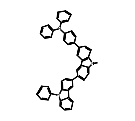 In1c2ccc(-c3ccc(N(c4ccccc4)c4ccccc4)cc3)cc2c2cc(-c3ccc4c(c3)c3ccccc3n4-c3ccccc3)ccc21